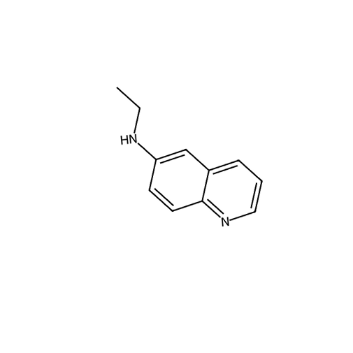 CCNc1ccc2ncccc2c1